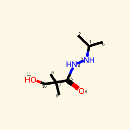 CC(C)NNC(=O)C(C)(C)CO